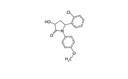 COc1ccc(N2C(=O)C(O)CC2c2ccccc2Cl)cc1